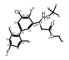 CCOC(=O)C[C@H](NSC(C)(C)C)c1cc(-c2c(C)cc(F)cc2C)cc(Cl)c1F